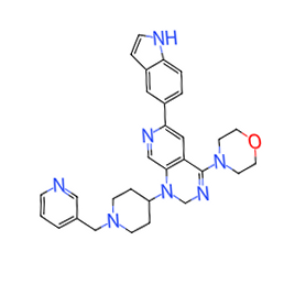 c1cncc(CN2CCC(N3CN=C(N4CCOCC4)c4cc(-c5ccc6[nH]ccc6c5)ncc43)CC2)c1